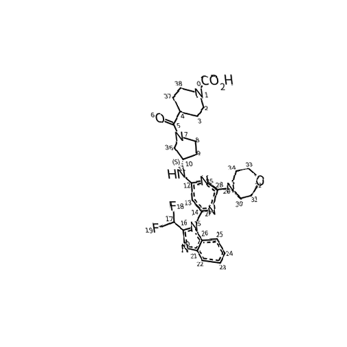 O=C(O)N1CCC(C(=O)N2CC[C@H](Nc3cc(-n4c(C(F)F)nc5ccccc54)nc(N4CCOCC4)n3)C2)CC1